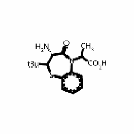 CC(C(=O)O)N1C(=O)[C@@H](N)C(C(C)(C)C)Sc2ccccc21